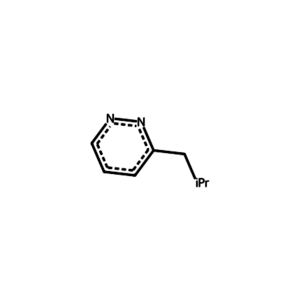 CC(C)Cc1cccnn1